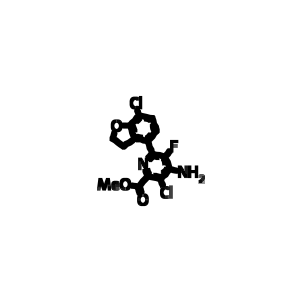 COC(=O)c1nc(-c2ccc(Cl)c3c2CCO3)c(F)c(N)c1Cl